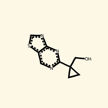 OCC1(c2ncc3s[c]nc3n2)CC1